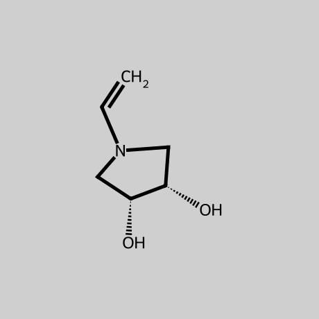 C=CN1C[C@@H](O)[C@@H](O)C1